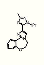 Cc1nc(-c2cn3c(n2)-c2ccccc2OCC3)n(C(C)C)n1